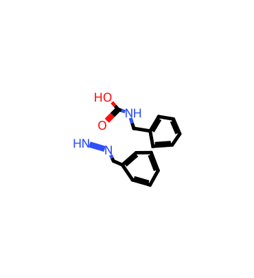 N=NCc1ccccc1.O=C(O)NCc1ccccc1